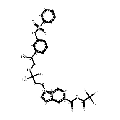 CC(C)(CCn1cnc2cc(C(=O)OC(=O)C(F)(F)F)ncc21)NCC(O)c1cccc(NS(=O)(=O)c2ccccc2)c1